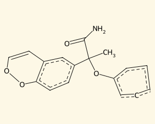 CC(Oc1ccccc1)(C(N)=O)c1ccc2c(c1)C=COO2